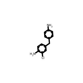 Nc1ccc(Cc2ccc(N)c(Cl)c2)cc1